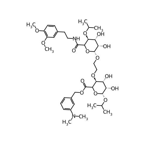 COc1ccc(CCNC(=O)C2O[C@@H](OCCO[C@@H]3C(C(=O)OCc4cccc(N(C)C)c4)O[C@@H](OC(C)C)[C@@H](O)[C@H]3O)[C@@H](O)[C@@H](O)[C@@H]2OC(C)C)cc1OC